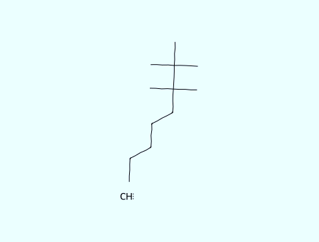 CCCCCC(C)(C)C(C)(C)C.[CH]